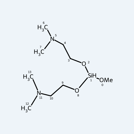 CO[SiH](OCCN(C)C)OCCN(C)C